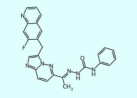 CC(=NNC(=O)Nc1ccccc1)c1ccc2ncc(Cc3cc4cccnc4cc3F)n2n1